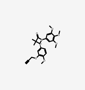 C#CCOc1cc([C@@H]2N(c3cc(OC)c(OC)c(OC)c3)C(=O)C2(C)C)ccc1OC